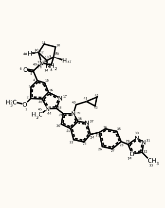 COc1cc(C(=O)N2C[C@H]3CC[C@@H]2[C@@H]3N)cc2nc(-c3cc4ccc(-c5ccc(-c6nnc(C)o6)cc5)nc4n3CC3CC3)n(C)c12